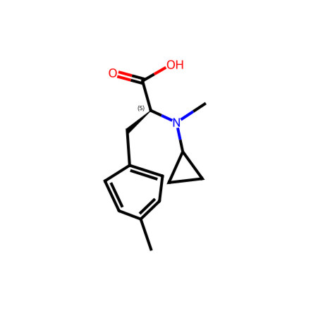 Cc1ccc(C[C@@H](C(=O)O)N(C)C2CC2)cc1